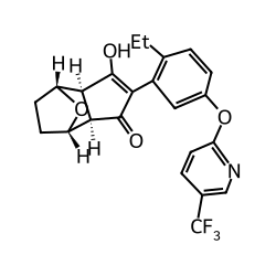 CCc1ccc(Oc2ccc(C(F)(F)F)cn2)cc1C1=C(O)[C@H]2[C@@H](C1=O)[C@@H]1CC[C@H]2O1